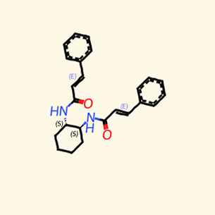 O=C(/C=C/c1ccccc1)N[C@H]1CCCC[C@@H]1NC(=O)/C=C/c1ccccc1